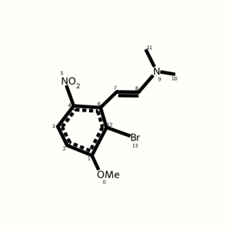 COc1ccc([N+](=O)[O-])c(C=CN(C)C)c1Br